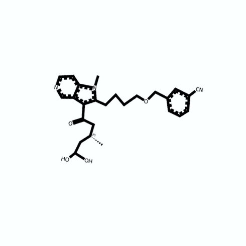 C[C@@H](CC(=O)c1c(CCCCOCc2cccc(C#N)c2)n(C)c2ccncc12)CC(O)O